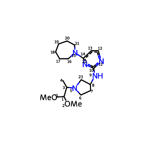 COC(OC)C(C)N1CCC(Nc2nccc(N3CCCCCC3)n2)C1